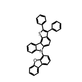 c1ccc(-c2sc3c(ccc4c3c3ccccc3n4-c3cccc4c3oc3ccccc34)c2-c2ccccc2)cc1